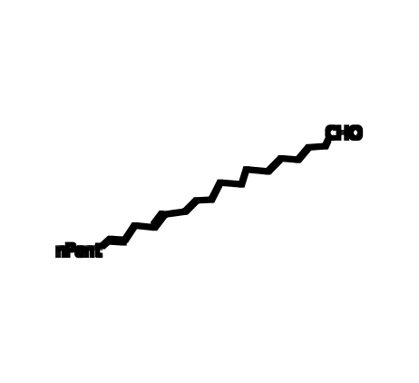 CCCCC/C=C/C/C=C/CCCCCCCCCCCC=O